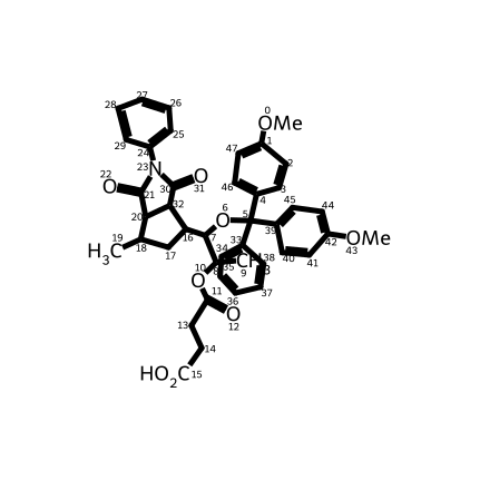 COc1ccc(C(OC(C(C)OC(=O)CCC(=O)O)C2CC(C)C3C(=O)N(c4ccccc4)C(=O)C23)(c2ccccc2)c2ccc(OC)cc2)cc1